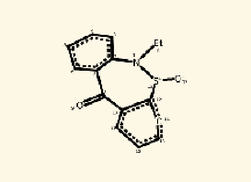 CCN1c2ccccc2C(=O)c2ccccc2[S+]1[O-]